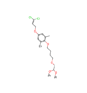 CCc1cc(OCC=C(Cl)Cl)cc(C)c1OCCCCOCC(OC(C)C)OC(C)C